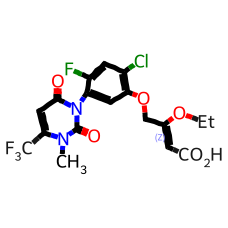 CCO/C(=C\C(=O)O)COc1cc(-n2c(=O)cc(C(F)(F)F)n(C)c2=O)c(F)cc1Cl